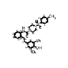 Cc1ccc(S(=O)(=O)N2CCN(C(=O)Nc3ccccc3CCc3cc(C(C)(C)C)c(O)c(C(C)(C)C)c3)CC2)cc1